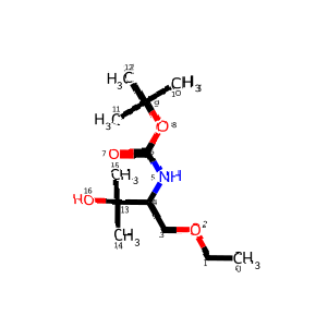 CCOCC(NC(=O)OC(C)(C)C)C(C)(C)O